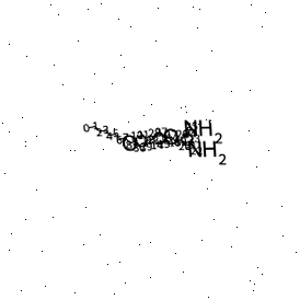 CCCCCCCCOc1ccc(-c2ccc(OCc3cc(N)cc(N)c3)cc2)cc1